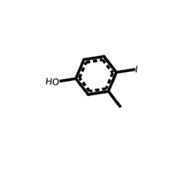 Cc1cc(O)ccc1I